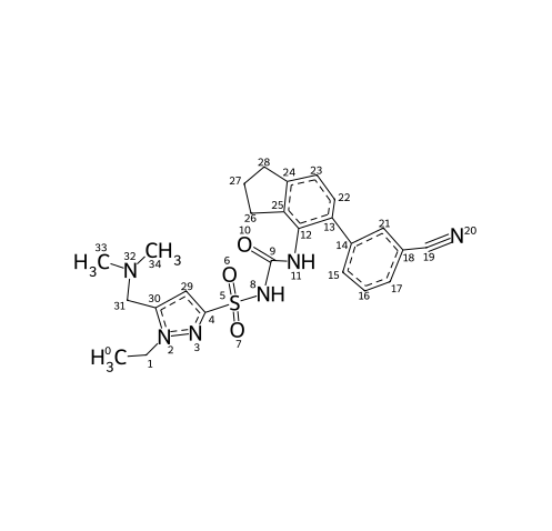 CCn1nc(S(=O)(=O)NC(=O)Nc2c(-c3cccc(C#N)c3)ccc3c2CCC3)cc1CN(C)C